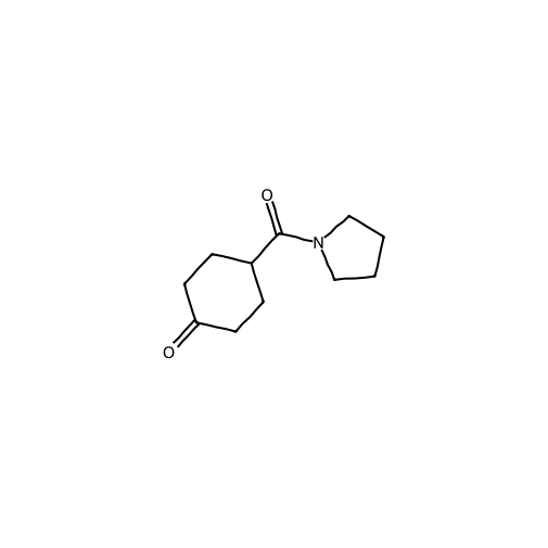 O=C1CCC(C(=O)N2CCCC2)CC1